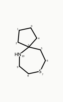 C1CCC2(C1)CCSCCN2